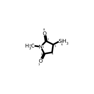 CN1C(=O)CC([SiH3])C1=O